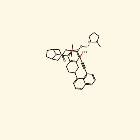 CN1CCC[C@H]1COc1cc2c(c(N3CC4CCC(C3)N4C(=O)OC(C)(C)C)n1)CCN(c1cccc3cccc(C#CCO)c13)C2